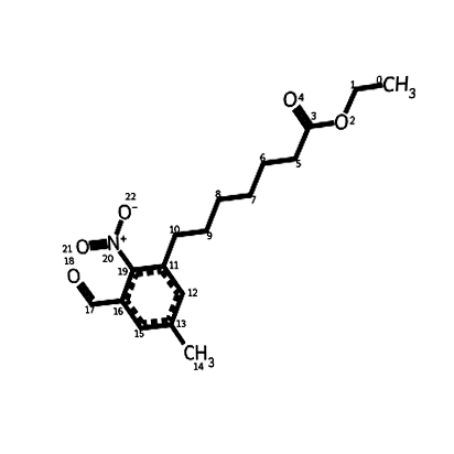 CCOC(=O)CCCCCCc1cc(C)cc(C=O)c1[N+](=O)[O-]